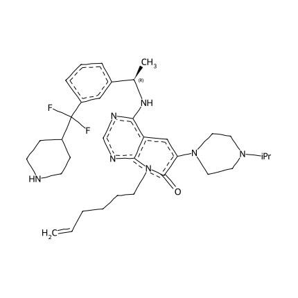 C=CCCCCn1c(=O)c(N2CCN(C(C)C)CC2)cc2c(N[C@H](C)c3cccc(C(F)(F)C4CCNCC4)c3)ncnc21